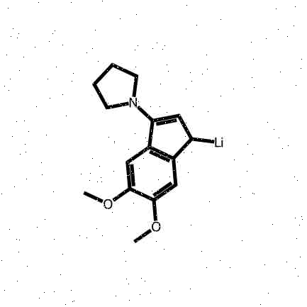 [Li][CH]1C=C(N2CCCC2)c2cc(OC)c(OC)cc21